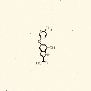 Cc1ccc(Oc2cc(O)c3[nH]c(C(=O)O)cc3c2)cn1